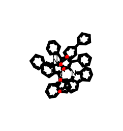 c1ccc(C2=NC(n3c4ccccc4c4ccc5c6ccccc6n(-c6c(-c7ccccc7)cc(-c7ccccc7)c7c8ccccc8n(-c8ccccc8)c67)c5c43)=NC(c3ccc(-c4ccccc4)cc3)N2)cc1